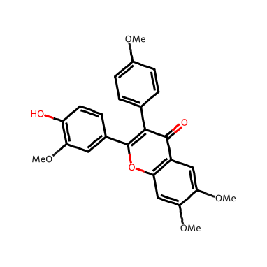 COc1ccc(-c2c(-c3ccc(O)c(OC)c3)oc3cc(OC)c(OC)cc3c2=O)cc1